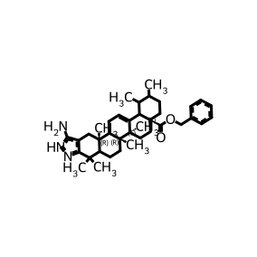 CC1CC[C@]2(C(=O)OCc3ccccc3)CC[C@]3(C)C(=CCC4[C@@]5(C)Cc6c(n[nH]c6N)C(C)(C)C5CC[C@]43C)C2C1C